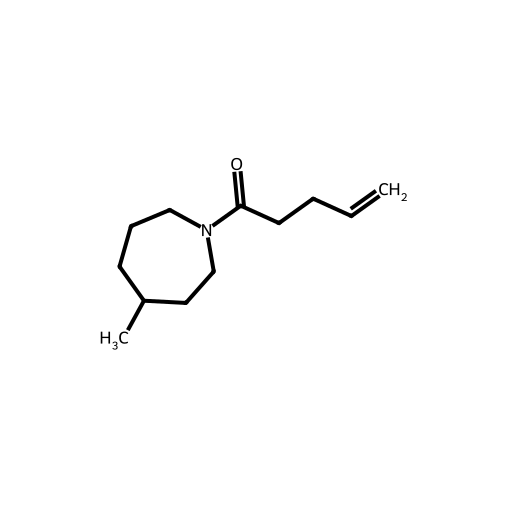 C=CCCC(=O)N1CCCC(C)CC1